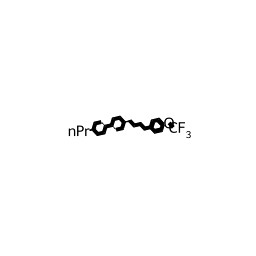 CCC[C@H]1CC[C@H]([C@H]2CC[C@H](CCCCc3ccc(OC(F)(F)F)cc3)CC2)CC1